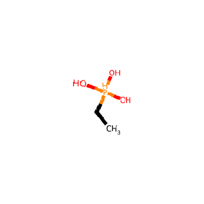 CC[PH](O)(O)O